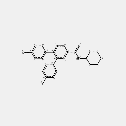 S=C(NC1CCCCC1)c1cnc(-c2ccc(Cl)cc2)c(-c2ccc(Cl)cc2)n1